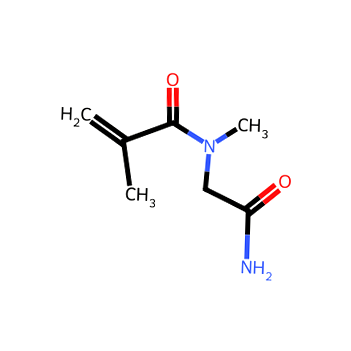 C=C(C)C(=O)N(C)CC(N)=O